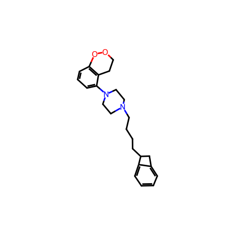 c1ccc2c(c1)CC2CCCCN1CCN(c2cccc3c2CCOO3)CC1